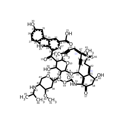 CC#C/C=C\C#C[C@H](OC1OC(C)C(C(=O)c2nc(C(=O)O)cc3c2[nH]c2ccc(O)cc23)C(O)C1OC1CC(OC)C(NC(C)C)CO1)C1=C(NC(=O)OC)C(=O)C[C@H](O)/C1=C/CS(C)(=S)=S